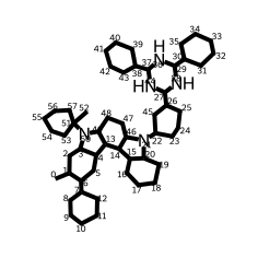 CC1CC2C(CC1C1CCCCC1)C1C3C4CCCCC4N(C4CCCC(C5NC(C6CCCCC6)NC(C6CCCCC6)N5)C4)C3CCC1N2C1(C)CCCCC1